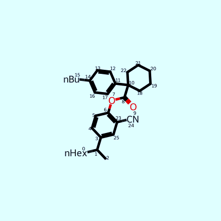 CCCCCCC(C)c1ccc(OC(=O)C2(c3ccc(CCCC)cc3)CCCCC2)c(C#N)c1